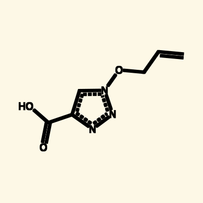 C=CCOn1cc(C(=O)O)nn1